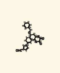 O=Cc1ccn(C2=CC3=C(CC2)C(OCc2ccccc2)CC2=NC(=O)C(=O)N=C23)c1